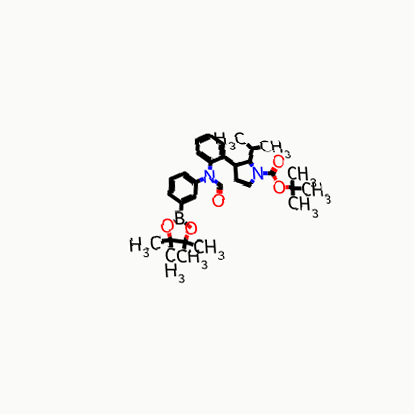 CC(C)C1C(c2ccccc2N(C=O)c2cccc(B3OC(C)(C)C(C)(C)O3)c2)CCN1C(=O)OC(C)(C)C